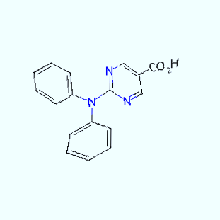 O=C(O)c1cnc(N(c2ccccc2)c2ccccc2)nc1